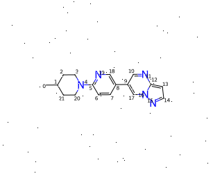 CC1CCN(c2ccc(-c3cnc4ccnn4c3)cn2)CC1